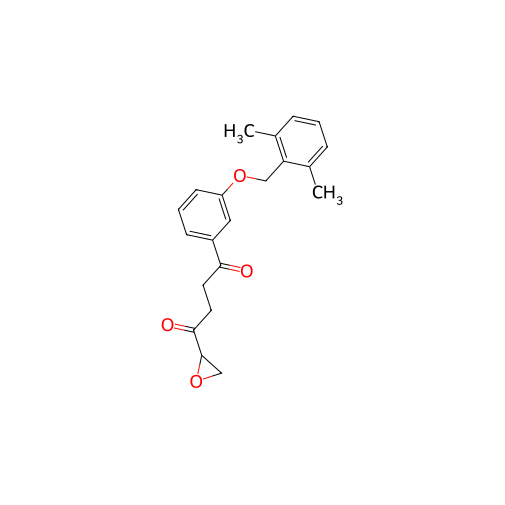 Cc1cccc(C)c1COc1cccc(C(=O)CCC(=O)C2CO2)c1